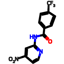 O=C(Nc1cc([N+](=O)[O-])ccn1)c1ccc(C(F)(F)F)cc1